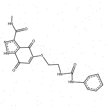 CNC(=O)c1n[nH]c2c1C(=O)C(SCCNC(=O)Nc1ccccc1)=CC2=O